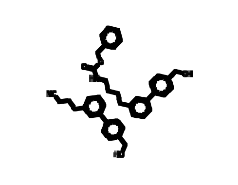 N#CCCCc1cccc(-c2ccc(CO)cc2)c1.O=C(NCCCCc1cccc(-c2ccc(CO)cc2)c1)OCc1ccccc1